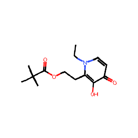 CCn1ccc(=O)c(O)c1CCOC(=O)C(C)(C)C